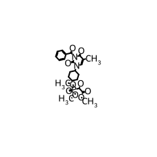 COC(=O)C(OC1CCCC(n2cc(C)c(=O)n(C(=O)c3ccccc3)c2=O)C1)P(=O)(OC)OC